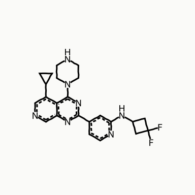 FC1(F)CC(Nc2cc(-c3nc(N4CCNCC4)c4c(C5CC5)cncc4n3)ccn2)C1